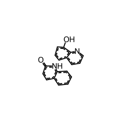 O=c1ccc2ccccc2[nH]1.Oc1cccc2cccnc12